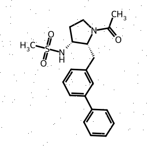 CC(=O)N1CC[C@@H](NS(C)(=O)=O)[C@H]1Cc1cccc(-c2ccccc2)c1